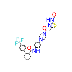 O=CNc1nc(CC(=O)N2CCN(c3ccc(NC(=O)C4=C(c5ccc(C(F)(F)F)cc5)CCCC4)cc3)CC2)cs1